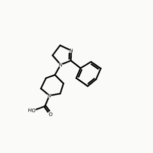 O=C(O)N1CCC(N2CCN=C2c2ccccc2)CC1